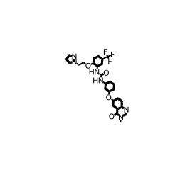 Cn1cnc2ccc(Oc3cccc(NC(=O)Nc4cc(C(F)(F)F)ccc4OCCn4cccn4)c3)cc2c1=O